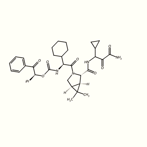 CC(C)[C@H](OC(=O)N[C@H](C(=O)N1C[C@H]2[C@@H]([C@H]1C(=O)NC(C(=O)C(N)=O)C1CC1)C2(C)C)C1CCCCC1)C(=O)c1ccccc1